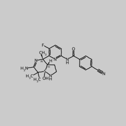 CC1(C)C(N)=N[C@](C)(c2nc(NC(=O)c3ccc(C#N)cc3)ccc2F)[C@@H]2CCNS21O